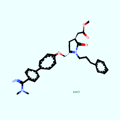 COC(=O)C[C@@H]1C[C@@H](COc2ccc(-c3ccc(C(=N)N(C)C)cc3)cc2)N(CCCc2ccccc2)C1=O.Cl